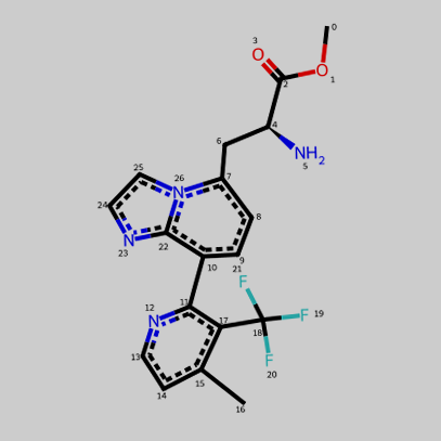 COC(=O)[C@@H](N)Cc1ccc(-c2nccc(C)c2C(F)(F)F)c2nccn12